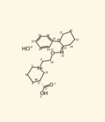 Cl.O=C(O)[C@@H]1CCCN(CCON=C2CCCCC2c2ccccc2)C1